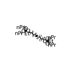 CCCOC(CC)(OCCC)OCCCSSCCCOC(CC)(OCCC)OCCC